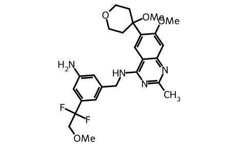 COCC(F)(F)c1cc(N)cc(CNc2nc(C)nc3cc(OC)c(C4(OC)CCOCC4)cc23)c1